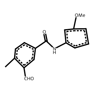 COc1cccc(NC(=O)c2ccc(C)c(C=O)c2)c1